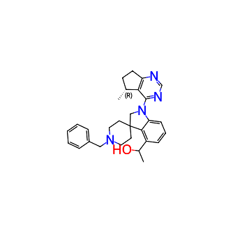 CC(O)c1cccc2c1C1(CCN(Cc3ccccc3)CC1)CN2c1ncnc2c1[C@H](C)CC2